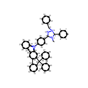 CN1C(c2ccccc2)N2C(c3ccccc3)[N@]2C1c1ccc(-n2c3ccccc3c3cc4c(cc32)C(c2ccccc2)(c2ccccc2)c2ccccc2-4)cc1